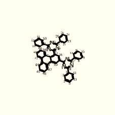 c1ccc(-c2nc(-c3ccccc3)nc(-c3cc(-c4nc(-c5ccccc5)nc(-c5ccccc5)n4)c4c5ccccc5c5ccccc5c4c3)n2)cc1